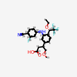 CCO[C@@H](c1ccc(C(COC)CC(=O)O)cc1Nc1ccc(C#N)c(F)c1)C(F)(F)F